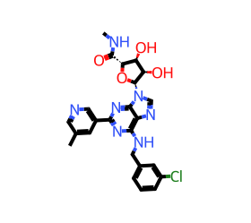 CNC(=O)[C@H]1O[C@@H](n2cnc3c(NCc4cccc(Cl)c4)nc(-c4cncc(C)c4)nc32)[C@H](O)[C@@H]1O